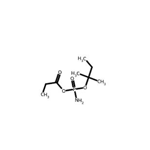 CCC(=O)OP(N)(=O)OC(C)(C)CC